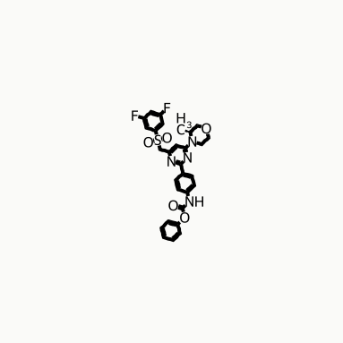 C[C@H]1COCCN1c1cc(CS(=O)(=O)c2cc(F)cc(F)c2)nc(-c2ccc(NC(=O)Oc3ccccc3)cc2)n1